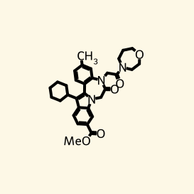 COC(=O)c1ccc2c(C3CCCCC3)c3n(c2c1)CC(=O)N(CC(=O)N1CCCOCC1)c1cc(C)ccc1-3